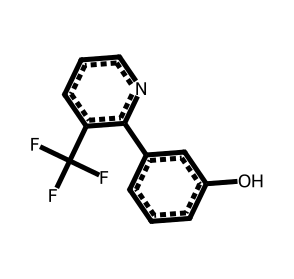 Oc1cccc(-c2ncccc2C(F)(F)F)c1